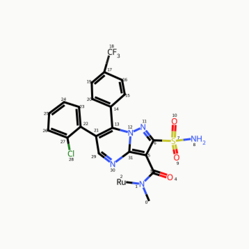 C[N]([Ru])C(=O)c1c(S(N)(=O)=O)nn2c(-c3ccc(C(F)(F)F)cc3)c(-c3ccccc3Cl)cnc12